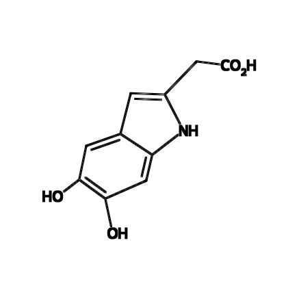 O=C(O)Cc1cc2cc(O)c(O)cc2[nH]1